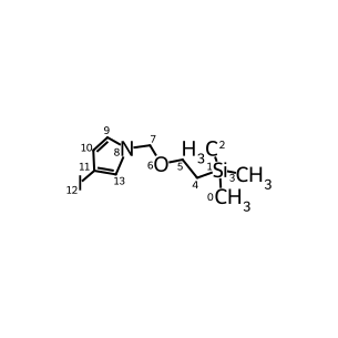 C[Si](C)(C)CCOCn1ccc(I)c1